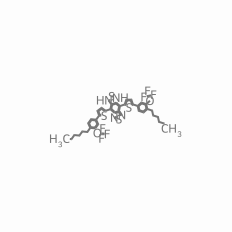 CCCCCCc1ccc(-c2ccc(-c3c4c(c(-c5ccc(-c6ccc(CCCCCC)c(OC(F)(F)F)c6)s5)c5nsnc35)NSN4)s2)cc1OC(F)(F)F